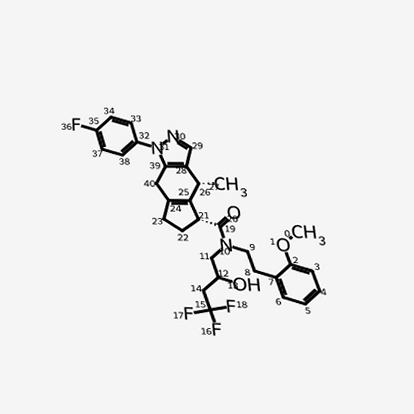 COc1ccccc1CCN(CC(O)CC(F)(F)F)C(=O)[C@@H]1CCC2=C1[C@@H](C)c1cnn(-c3ccc(F)cc3)c1C2